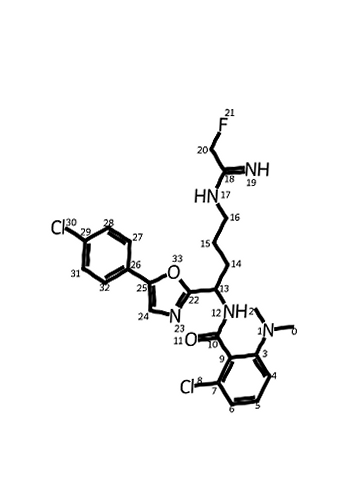 CN(C)c1cccc(Cl)c1C(=O)NC(CCCNC(=N)CF)c1ncc(-c2ccc(Cl)cc2)o1